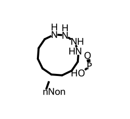 C1CCCCNNNNCCC1.CCCCCCCCCC.O=PO